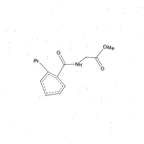 COC(=O)CNC(=O)c1ccccc1C(C)C